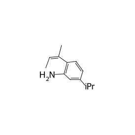 C/C=C(/C)c1ccc(C(C)C)cc1N